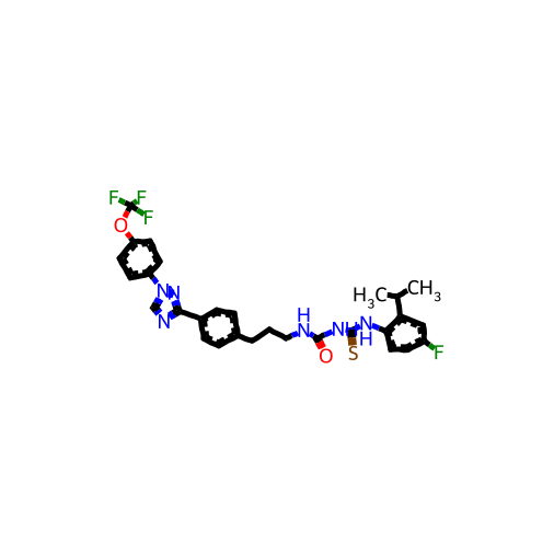 CC(C)c1cc(F)ccc1NC(=S)NC(=O)NCCCc1ccc(-c2ncn(-c3ccc(OC(F)(F)F)cc3)n2)cc1